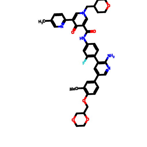 COc1cc(-c2cnc(N)c(-c3ccc(NC(=O)c4cn(CC5CCOCC5)cc(-c5ccc(C)cn5)c4=O)cc3F)c2)ccc1OCC1COCCO1